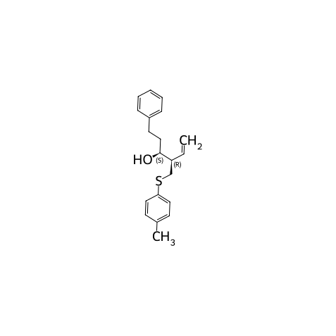 C=C[C@@H](CSc1ccc(C)cc1)[C@@H](O)CCc1ccccc1